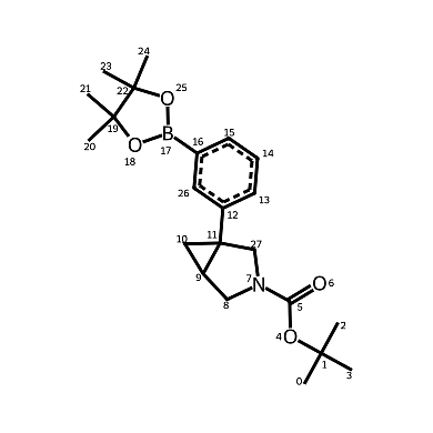 CC(C)(C)OC(=O)N1CC2CC2(c2cccc(B3OC(C)(C)C(C)(C)O3)c2)C1